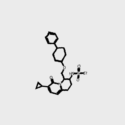 CCS(=O)(=O)NC1CCc2ccc(C3CC3)c(=O)n2C1COC1CCC(c2ccccc2)CC1